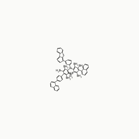 Bc1c(B)c(N(c2cccc(-c3cccc4c3sc3ccccc34)c2)c2c(B)c(B)c(-c3cccc4ccccc34)c(B)c2B)c(B)c(B)c1-c1ccc(-c2cccc3ccccc23)cc1